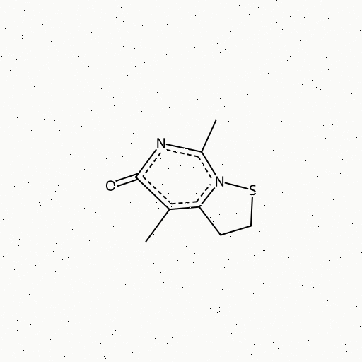 Cc1c2n(c(C)nc1=O)SCC2